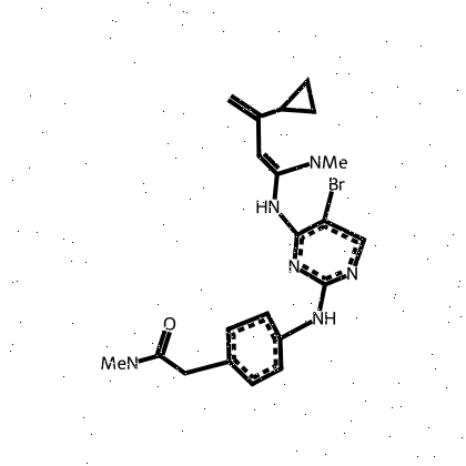 C=C(/C=C(\NC)Nc1nc(Nc2ccc(CC(=O)NC)cc2)ncc1Br)C1CC1